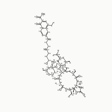 CCc1cc(C(=O)O)c(=O)n2ccc(NCCNCCCO[C@H]3[C@H](C)O[C@@H](O[C@H]4[C@H](C)[C@@H](O[C@@H]5O[C@H](C)C[C@H](N(C)C)[C@H]5O)[C@](C)(OC)C[C@@H](C)C(=O)C(C)[C@H]5NC(=O)O[C@]5(C)[C@@H](CC)OC(=O)[C@@H]4C)C[C@@]3(C)OC)cc12